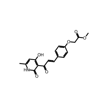 COC(=O)COc1ccc(C=CC(=O)c2c(O)cc(C)[nH]c2=O)cc1